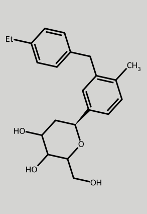 CCc1ccc(Cc2cc([C@@H]3CC(O)C(O)C(CO)O3)ccc2C)cc1